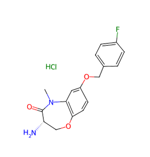 CN1C(=O)[C@@H](N)COc2ccc(OCc3ccc(F)cc3)cc21.Cl